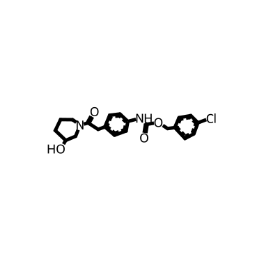 O=C(Nc1ccc(CC(=O)N2CCCC(O)C2)cc1)OCc1ccc(Cl)cc1